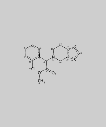 COC(=O)C(c1ccccc1Cl)N1CCc2ccsc2C1